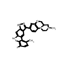 Cc1ccc(F)c(F)c1-c1cc2c(-c3ccc4c(c3)OCC3CN(C)CCN43)n[nH]c2cc1C#N